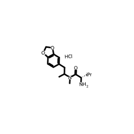 CC(C)[C@H](N)C(=O)N(C)C(C)Cc1ccc2c(c1)OCO2.Cl